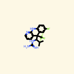 CC(C)C(NC(=N)N)C1(C(F)(F)F)c2cc(F)ccc2Nc2ncccc21